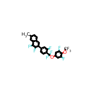 Cc1ccc2cc(-c3ccc(C(F)(F)Oc4cc(F)c(OC(F)(F)F)c(F)c4)c(F)c3)c(F)c(F)c2c1